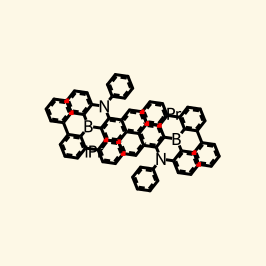 CC(C)c1c2c(c3ccc4c(C(C)C)c5c(c6ccc1c3c46)N(c1ccccc1)c1ccccc1B5c1c(-c3ccccc3)cccc1-c1ccccc1)N(c1ccccc1)c1ccccc1B2c1c(-c2ccccc2)cccc1-c1ccccc1